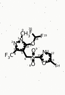 Cn1nc(C(F)(F)F)c(CS(=O)(=O)c2ncc(I)o2)c1OC(F)F